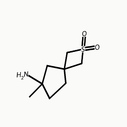 CC1(N)CCC2(C1)CS(=O)(=O)C2